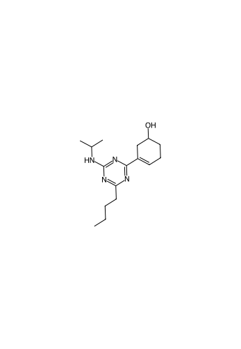 CCCCc1nc(NC(C)C)nc(C2=CCCC(O)C2)n1